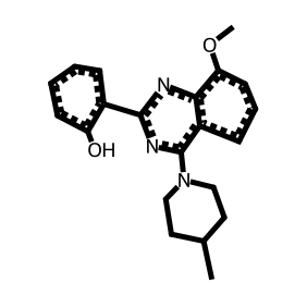 COc1cccc2c(N3CCC(C)CC3)nc(-c3ccccc3O)nc12